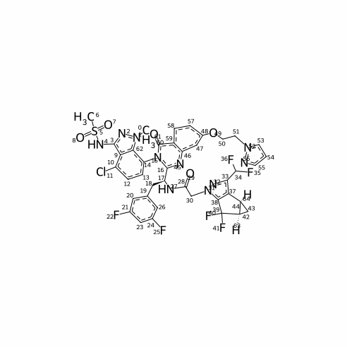 Cn1nc(NS(C)(=O)=O)c2c(Cl)ccc(-n3c([C@H](Cc4cc(F)cc(F)c4)NC(=O)Cn4nc(C(F)F)c5c4C(F)(F)[C@@H]4C[C@H]54)nc4cc(OCCn5cccn5)ccc4c3=O)c21